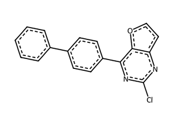 Clc1nc(-c2ccc(-c3ccccc3)cc2)c2occc2n1